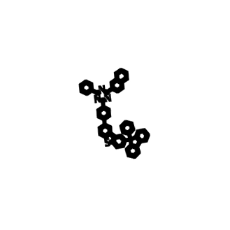 c1ccc(-c2nc(-c3ccc(-c4ccc5sc6ccc(C7(c8ccccc8)c8ccccc8-c8ccccc87)cc6c5c4)cc3)nc(-c3ccc4ccccc4c3)n2)cc1